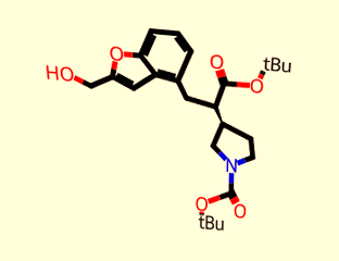 CC(C)(C)OC(=O)C(Cc1cccc2oc(CO)cc12)[C@H]1CCN(C(=O)OC(C)(C)C)C1